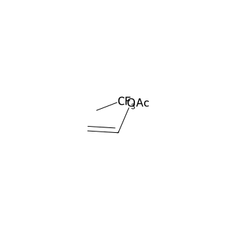 C=COC(C)=O.CC(F)(F)F